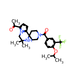 CC(=O)c1ccc2n1CC(C)(C)NC21CCN(C(=O)c2ccc(OC(C)C)c(C(F)(F)F)c2)CC1